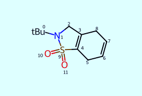 CC(C)(C)N1CC2=C(CC=CC2)S1(=O)=O